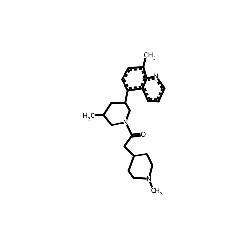 Cc1ccc(C2CC(C)CN(C(=O)CC3CCN(C)CC3)C2)c2cccnc12